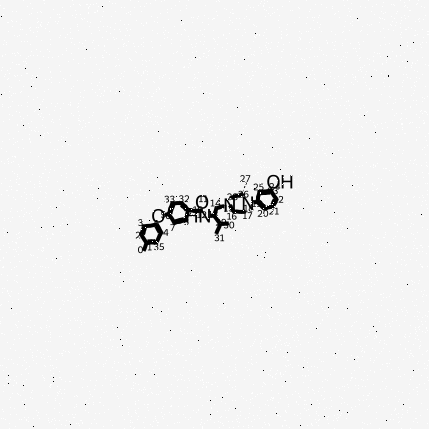 Cc1ccc(Oc2ccc(C(=O)NC(CN3CCN(c4cccc(O)c4)[C@@H](C)C3)C(C)C)cc2)cc1